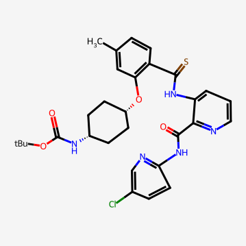 Cc1ccc(C(=S)Nc2cccnc2C(=O)Nc2ccc(Cl)cn2)c(O[C@H]2CC[C@@H](NC(=O)OC(C)(C)C)CC2)c1